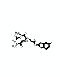 COC(=O)[C@H](CCC(=O)Nc1nc2ccc(F)cc2s1)N[C@@H](CC(C)C)C(=O)OC